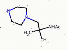 CC(=O)NC(C)(C)CN1CC[N]CC1